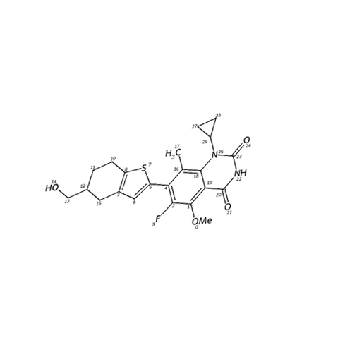 COc1c(F)c(-c2cc3c(s2)CCC(CO)C3)c(C)c2c1c(=O)[nH]c(=O)n2C1CC1